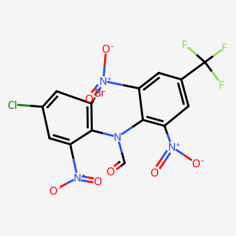 O=CN(c1c(Br)cc(Cl)cc1[N+](=O)[O-])c1c([N+](=O)[O-])cc(C(F)(F)F)cc1[N+](=O)[O-]